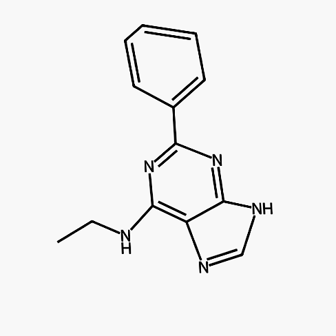 CCNc1nc(-c2ccccc2)nc2[nH]cnc12